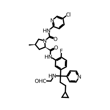 C[C@@H]1C[C@H](C(=O)Nc2cc(C(CCC3CC3)(NCC=O)c3ccncc3)ccc2F)N(C(=O)Nc2ccc(Cl)cn2)C1